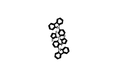 Fc1ccc(-n2c3ccccc3c3ccccc32)c(F)[c]1[Ti]([C]1=CC=CC1)([C]1=CC=CC1)[c]1c(F)ccc(-n2c3ccccc3c3ccccc32)c1F